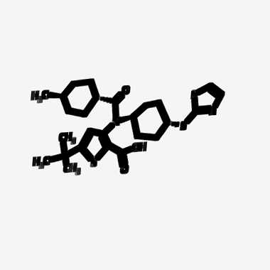 CC(C)(C)c1cc(N(C(=O)[C@H]2CC[C@H](C)CC2)[C@H]2CC[C@H](Sc3nccs3)CC2)c(C(=O)O)s1